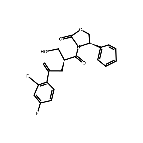 C=C(C[C@@H](CO)C(=O)N1C(=O)OC[C@H]1c1ccccc1)c1ccc(F)cc1F